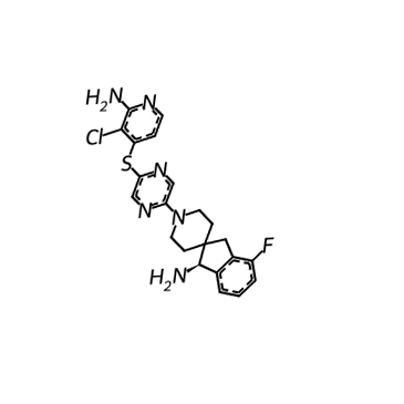 Nc1nccc(Sc2cnc(N3CCC4(CC3)Cc3c(F)cccc3[C@H]4N)cn2)c1Cl